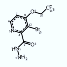 NNC(=O)c1nccc(OCC(F)(F)F)c1Br